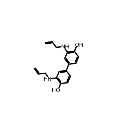 C=CCNc1cc(-c2ccc(O)c(NCC=C)c2)ccc1O